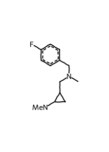 CNC1CC1CN(C)Cc1ccc(F)cc1